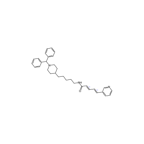 O=C(/C=C/C=C/c1cccnc1)NCCCCCC1CCN(C(c2ccccc2)c2ccccc2)CC1